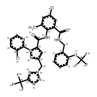 Cc1cc(Cl)cc(C(=O)NCc2ccccc2OC(F)(F)F)c1NC(=O)c1cc(Cn2nnc(C(F)(F)F)n2)nn1-c1ncccc1Cl